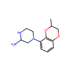 CC1COc2cccc(N3CCNC(N)C3)c2O1